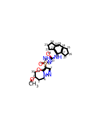 CO[C@@H]1CCn2ncc([S@@](N)(=O)=NC(=O)Nc3c4c(cc5c3CCC5)CCC4)c2OC1